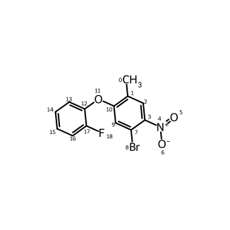 Cc1cc([N+](=O)[O-])c(Br)cc1Oc1ccccc1F